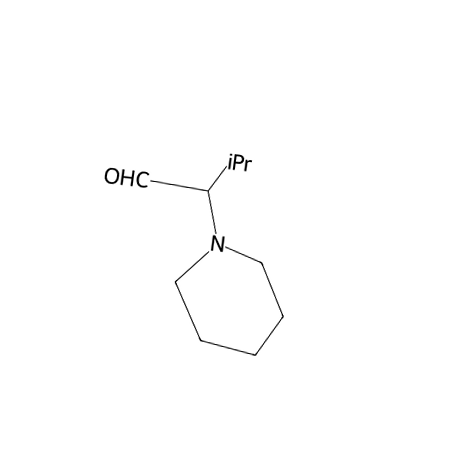 CC(C)C(C=O)N1CCCCC1